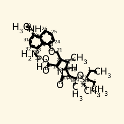 CC[Si](CC)(CC)O[C@H](C)[C@H]1C(=O)N2C(C(=O)OPN)=C(COc3cccc4c(NC)cccc34)[C@H](C)[C@H]12